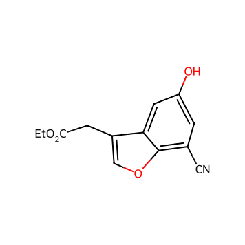 CCOC(=O)Cc1coc2c(C#N)cc(O)cc12